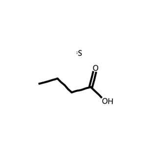 CCCC(=O)O.[S]